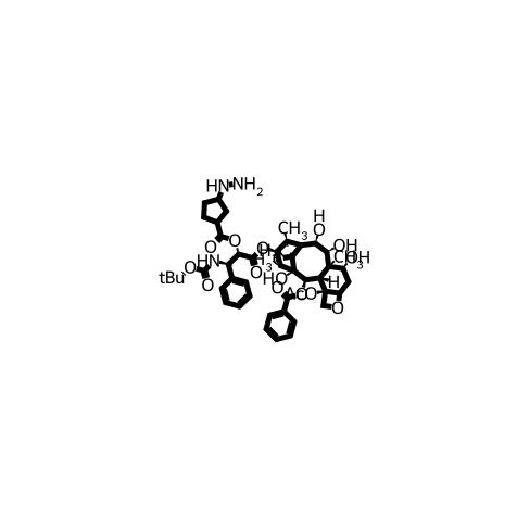 CC(=O)O[C@]12COC1C[C@@H](O)[C@@]1(C)[C@H]2[C@@H](OC(=O)c2ccccc2)[C@@]2(O)C[C@@H](OC(=O)[C@@H](OC(=O)C3CCC(NN)C3)[C@H](NC(=O)OC(C)(C)C)c3ccccc3)[C@H](C)C([C@H](O)[C@@H]1O)C2(C)C